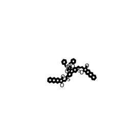 O=C1C(=Cc2cc3cc4c(cc3s2)-c2cc3sc(C=C5C(=O)c6cc7cc8ccccc8cc7cc6C5=O)cc3cc2C4(C(=O)OCc2ccccc2)C(=O)OCc2ccccc2)C(=O)c2cc3cc4ccccc4cc3cc21